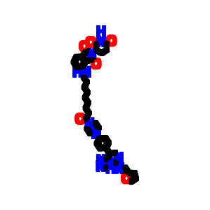 O=C1CCC(N2C(=O)c3cccc(NCCCCCCCCC(=O)N4CCN(c5ccc(-c6cnc(NCc7ccco7)n7cnnc67)cc5)CC4)c3C2=O)C(=O)N1